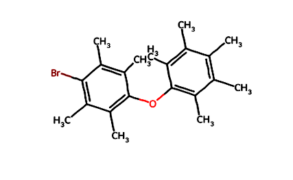 Cc1c(C)c(C)c(Oc2c(C)c(C)c(Br)c(C)c2C)c(C)c1C